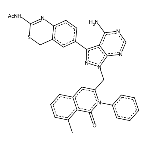 CC(=O)NC1=Nc2ccc(-c3nn(Cc4cc5cccc(C)c5c(=O)n4-c4ccccc4)c4ncnc(N)c34)cc2CS1